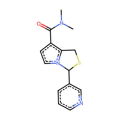 CN(C)C(=O)c1ccn2c1CSC2c1cccnc1